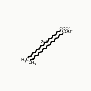 CC=CCCCCCCCCCCCCCCC(=O)[O-].CC=CCCCCCCCCCCCCCCC(=O)[O-].[Zn+2]